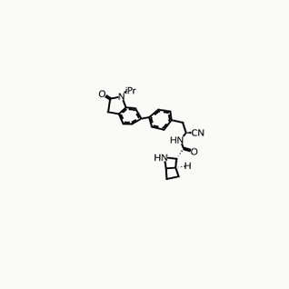 CC(C)N1C(=O)Cc2ccc(-c3ccc(C[C@@H](C#N)NC(=O)[C@H]4NC5CC[C@@H]54)cc3)cc21